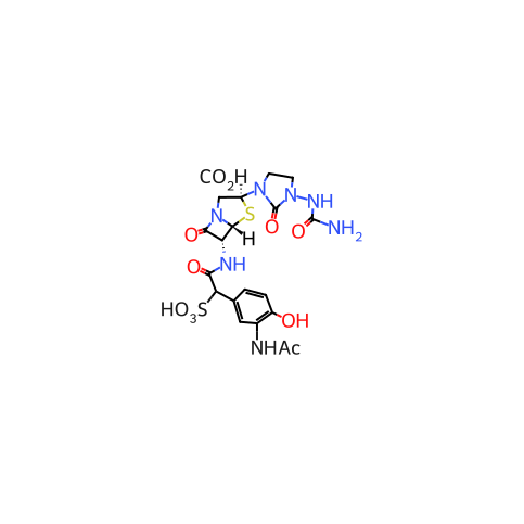 CC(=O)Nc1cc(C(C(=O)N[C@@H]2C(=O)N3C[C@@](C(=O)O)(N4CCN(NC(N)=O)C4=O)S[C@H]23)S(=O)(=O)O)ccc1O